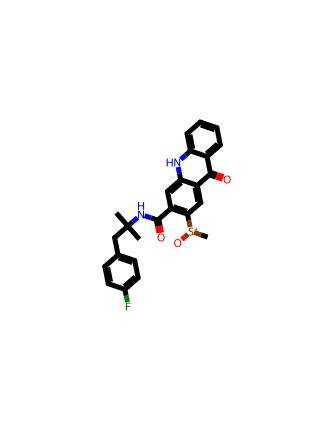 C[S+]([O-])c1cc2c(=O)c3ccccc3[nH]c2cc1C(=O)NC(C)(C)Cc1ccc(F)cc1